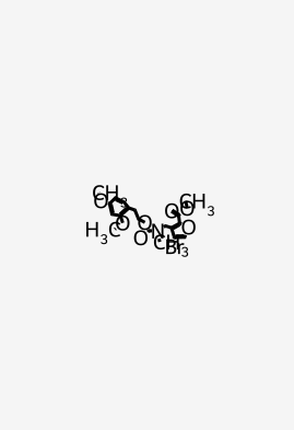 COC(=O)c1occ(Br)c1CN(C)C(=O)OCCc1ccc(OC)cc1OC